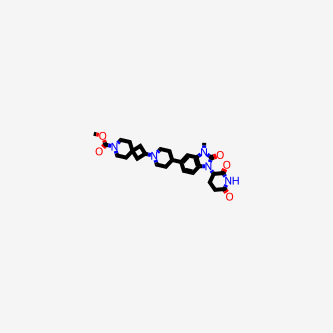 COC(=O)N1CCC2(CC1)CC(N1CCC(c3ccc4c(c3)n(C)c(=O)n4C3CCC(=O)NC3=O)CC1)C2